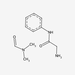 CN(C)C=O.NCC(=O)Nc1ccccc1